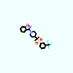 CC(C)(C1CCN(c2noc3ccccc23)CC1)S(=O)(=O)c1cccc(C(F)(F)F)c1